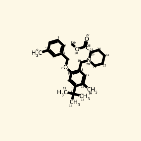 Cc1cccc(COc2cc(C(C)(C)C)c(C)cc2CN2CCCC[C@H]2C(=O)OI)c1